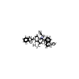 CC(C)C1CN(c2nc3ccccc3o2)CCN1/C(=N\C#N)Nc1cccc2c1ccc[n+]2[O-]